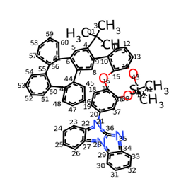 CC(C)(C)c1cc2c(cc1-c1cccc3c1Oc1ccc(-n4c5ccccc5n5c6ccccc6nc45)cc1O[Si](C)(C)O3)-c1ccccc1-c1ccccc1-c1ccccc1-2